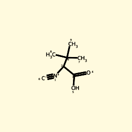 [C-]#[N+]C(C(=O)O)C(C)(C)C